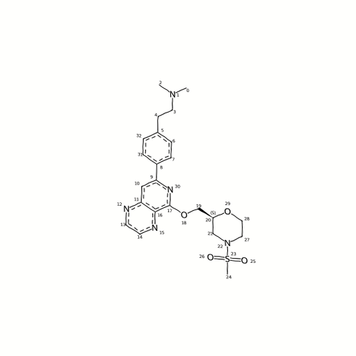 CN(C)CCc1ccc(-c2cc3nccnc3c(OC[C@@H]3CN(S(C)(=O)=O)CCO3)n2)cc1